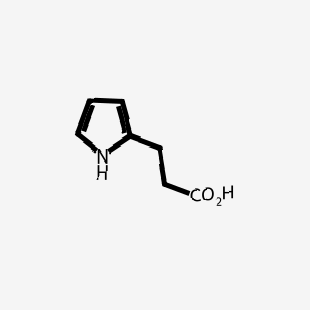 O=C(O)CCc1ccc[nH]1